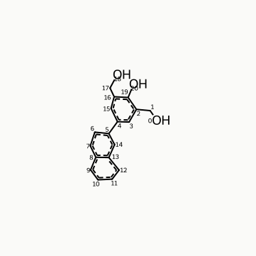 OCc1cc(-c2ccc3ccccc3c2)cc(CO)c1O